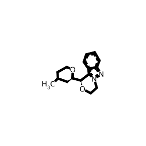 CC1CCO[C@@H]([C@H]2OCCn3nc4ccccc4c32)C1